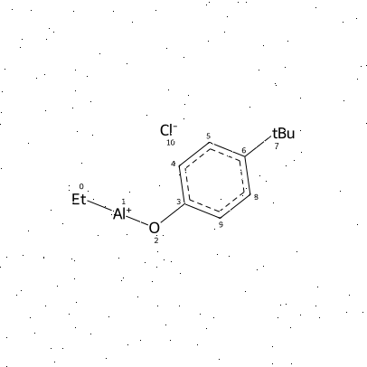 C[CH2][Al+][O]c1ccc(C(C)(C)C)cc1.[Cl-]